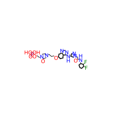 O=C(Cn1cc(Nc2ncnc3cc(OCCCN4CCN(CCOP(=O)(O)O)C(=O)C4)ccc23)cn1)Nc1cccc(F)c1F